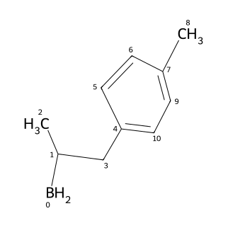 BC(C)Cc1ccc(C)cc1